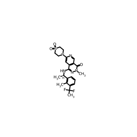 Cc1c([C@@H](C)Nc2nn(C)c(=O)c3cnc(N4CCS(=O)(=O)CC4)cc23)cccc1C(C)(F)F